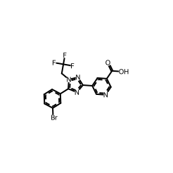 O=C(O)c1cncc(-c2nc(-c3cccc(Br)c3)n(CC(F)(F)F)n2)c1